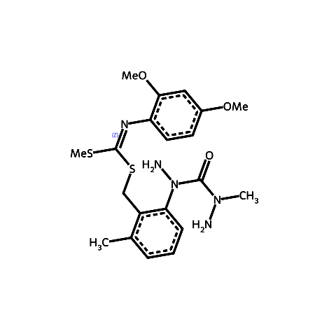 COc1ccc(/N=C(/SC)SCc2c(C)cccc2N(N)C(=O)N(C)N)c(OC)c1